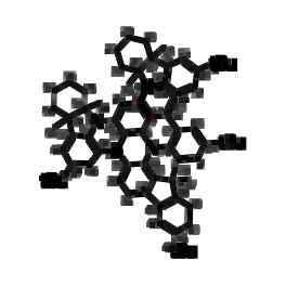 CC(C)(C)c1ccc(N2c3cc(N4c5ccc(C(C)(C)C)cc5C5(C)CCCCC45C)cc4c3B(c3ccc5c(c32)C(C)(C)c2ccc(C(C)(C)C)cc2-5)c2cc(C(C)(C)C)cc3c2N4C2(C)CCCCC32C)c(-c2ccccc2)c1